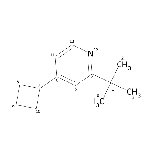 CC(C)(C)c1cc(C2CCC2)c[c]n1